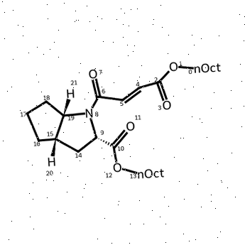 CCCCCCCCOC(=O)C=CC(=O)N1[C@H](C(=O)OCCCCCCCC)C[C@@H]2CCC[C@@H]21